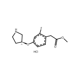 COC(=O)Cc1ccc(O[C@H]2CCNC2)cc1F.Cl